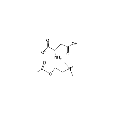 CC(=O)OCC[N+](C)(C)C.N[C@@H](CC(=O)O)C(=O)[O-]